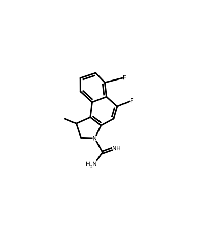 CC1CN(C(=N)N)c2cc(F)c3c(F)cccc3c21